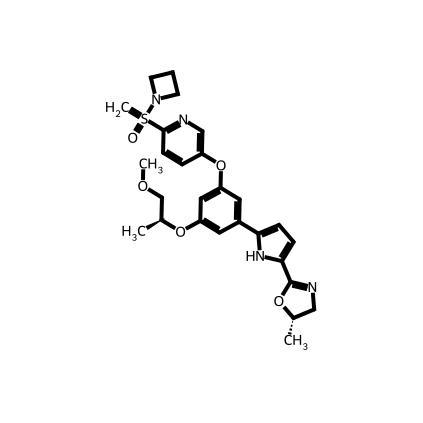 C=S(=O)(c1ccc(Oc2cc(O[C@@H](C)COC)cc(-c3ccc(C4=NC[C@H](C)O4)[nH]3)c2)cn1)N1CCC1